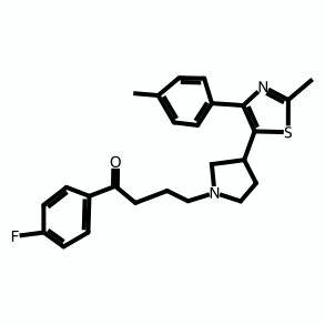 Cc1ccc(-c2nc(C)sc2C2CCN(CCCC(=O)c3ccc(F)cc3)C2)cc1